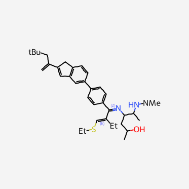 C=C(CC(C)(C)C)C1=Cc2cc(-c3ccc(C(=N/C(CC(C)O)C(C)NNC)/C(=C/SCC)CC)cc3)ccc2C1